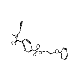 C#CCN(C)C(=O)c1ccc(S(=O)(=O)OCCOc2ccccc2)cc1